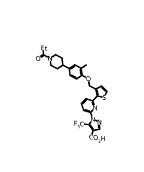 CCC(=O)N1CCC(c2ccc(OCc3ccsc3-c3cccc(-n4ncc(C(=O)O)c4C(F)(F)F)n3)c(C)c2)CC1